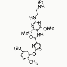 COc1nc(NCCNC(C)C)nc(OC)c1NC(=O)c1csc(Oc2cc(C(C)(C)C)ccc2C)n1